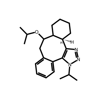 CC(C)OC1Cc2ccccc2-c2c(nnn2C(C)C)[C@@H]2CCCCC12